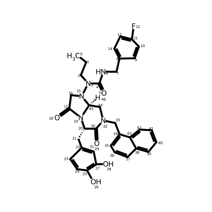 CCCN(C(=O)NCc1ccc(F)cc1)N1CC(=O)N2[C@@H](Cc3ccc(O)c(O)c3)C(=O)N(Cc3cccc4ccccc34)C[C@@H]21